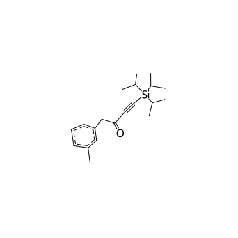 Cc1cccc(CC(=O)C#C[Si](C(C)C)(C(C)C)C(C)C)c1